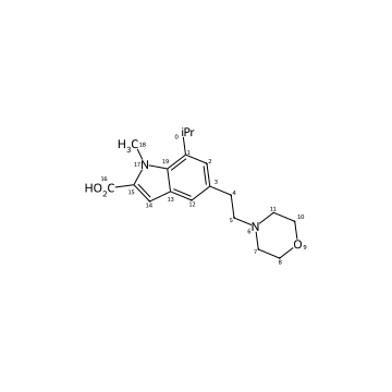 CC(C)c1cc(CCN2CCOCC2)cc2cc(C(=O)O)n(C)c12